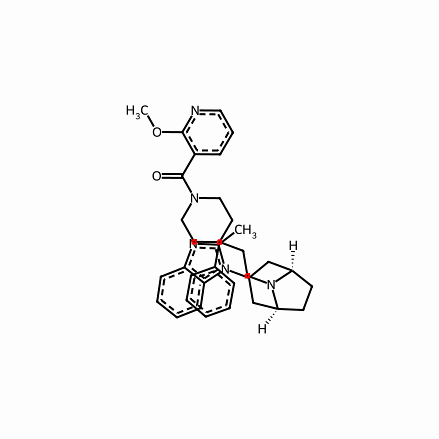 COc1ncccc1C(=O)N1CCC(CCN2[C@@H]3CC[C@H]2CC(n2c(C)nc4ccccc42)C3)(c2ccccc2)CC1